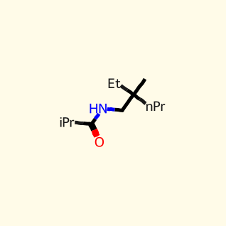 CCCC(C)(CC)CNC(=O)C(C)C